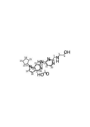 O=CO.OCCNCc1nccc(Nc2cc3c(ccn3C3CCCC3)cn2)n1